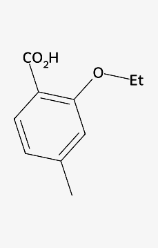 CCOc1cc(C)ccc1C(=O)O